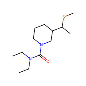 CCN(CC)C(=O)N1CCCC(C(C)SC)C1